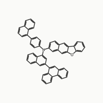 c1ccc2c(-c3ccc(N(c4ccc5cc6c(cc5c4)oc4ccccc46)c4cc(-c5cc6ccccc6c6ccccc56)cc5ccccc45)cc3)cccc2c1